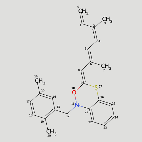 C=C\C(C)=C/C=C(C)/C=C1/ON(Cc2cc(C)ccc2C)c2ccccc2S1